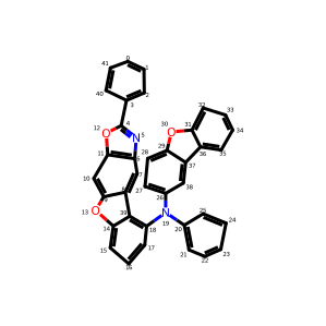 c1ccc(-c2nc3cc4c(cc3o2)oc2cccc(N(c3ccccc3)c3ccc5oc6ccccc6c5c3)c24)cc1